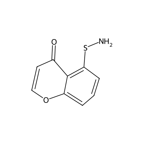 NSc1cccc2occc(=O)c12